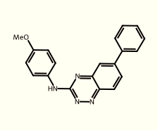 COc1ccc(Nc2nnc3ccc(-c4ccccc4)cc3n2)cc1